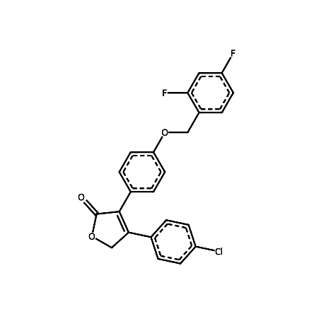 O=C1OCC(c2ccc(Cl)cc2)=C1c1ccc(OCc2ccc(F)cc2F)cc1